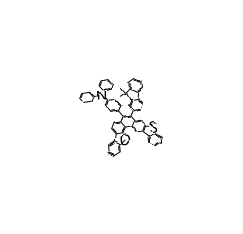 CC1(C)c2ccccc2-c2ccc(-c3c(-c4ccc(N(c5ccccc5)c5ccccc5)cc4)c4ccc5c6ccccc6oc5c4c4cc5c(cc34)sc3ccccc35)cc21